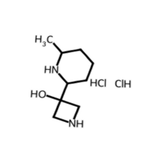 CC1CCCC(C2(O)CNC2)N1.Cl.Cl